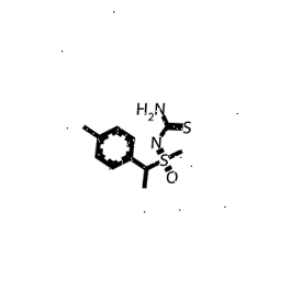 Cc1ccc(C(C)S(C)(=O)=NC(N)=S)cc1